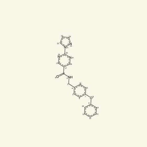 O=C(NCc1ccc(Oc2ccccc2)cc1)c1cnc(-n2cccn2)nc1